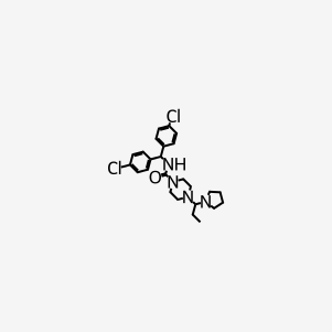 CCC(N1CCCC1)N1CCN(C(=O)NC(c2ccc(Cl)cc2)c2ccc(Cl)cc2)CC1